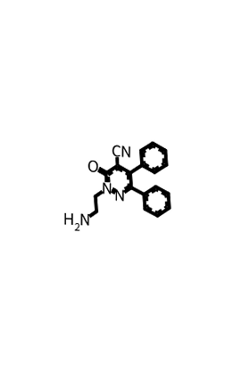 N#Cc1c(-c2ccccc2)c(-c2ccccc2)nn(CCN)c1=O